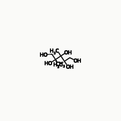 CC(O)([C@](C)(O)CO)[C@](C)(O)CO